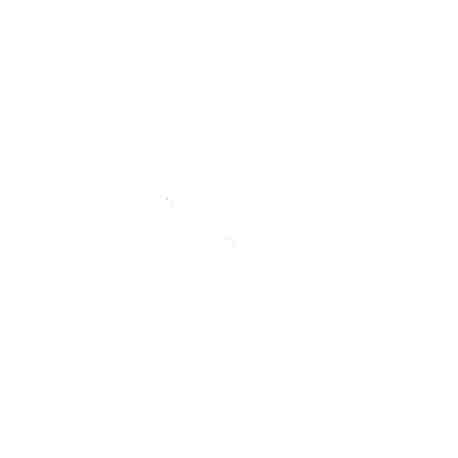 COC(=O)C(C1CC2CCC(C1)N2C)N1C(=O)c2ccccc2C1=O